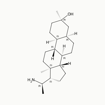 C[C@@H](N)[C@H]1CC[C@H]2[C@@H]3CC[C@@H]4C[C@](C)(O)CC[C@@H]4[C@H]3CC[C@]12C